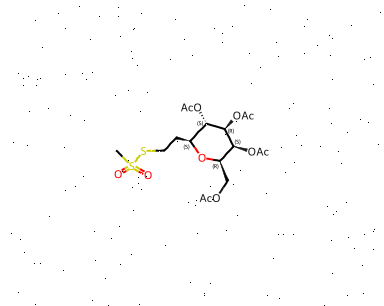 CC(=O)OC[C@H]1O[C@@H](CCSS(C)(=O)=O)[C@H](OC(C)=O)[C@@H](OC(C)=O)[C@H]1OC(C)=O